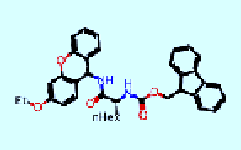 CCCCCC[C@H](NC(=O)OCC1c2ccccc2-c2ccccc21)C(=O)NC1c2ccccc2Oc2cc(OCC)ccc21